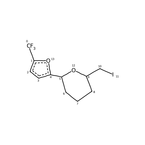 FC(F)(F)c1ccc(C2CCCC(CI)O2)o1